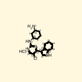 Cl.N[C@H]1CCC[C@@H](Nc2ncc(Cl)c(-c3c[nH]c4ccccc34)n2)C1